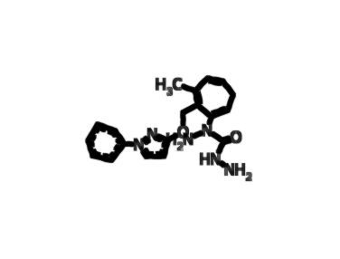 CC1=C(COc2ccn(-c3ccccc3)n2)C(N(N)C(=O)NN)=CCC=C1